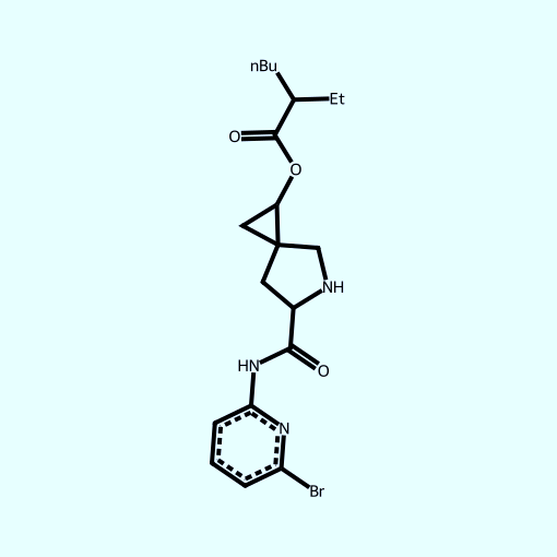 CCCCC(CC)C(=O)OC1CC12CNC(C(=O)Nc1cccc(Br)n1)C2